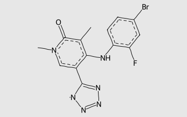 Cc1c(Nc2ccc(Br)cc2F)c(C2=NN=N[N]2)cn(C)c1=O